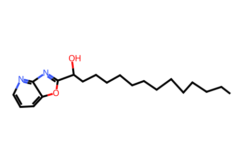 CCCCCCCCCCCCCC(O)c1nc2ncccc2o1